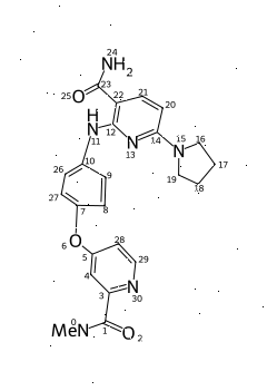 CNC(=O)c1cc(Oc2ccc(Nc3nc(N4CCCC4)ccc3C(N)=O)cc2)ccn1